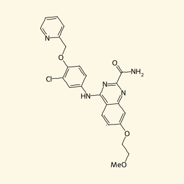 COCCOc1[c]cc2c(Nc3ccc(OCc4ccccn4)c(Cl)c3)nc(C(N)=O)nc2c1